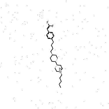 CCCCC[Si@H]1CC[C@H]([C@H]2CC[C@H](CCCCc3ccc(C=C(F)F)cc3)CC2)CC1